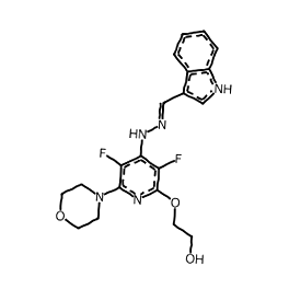 OCCOc1nc(N2CCOCC2)c(F)c(N/N=C/c2c[nH]c3ccccc23)c1F